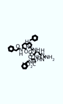 N=C(N)NCC[C@H](NC(=O)[C@@H]1C[C@@H](Cc2ccccc2)[C@@H]2CCC(NC(=O)Cc3ccccc3)C(=O)N12)C(=O)N[C@@H](CC(=O)O)C(=O)NCc1ccccc1